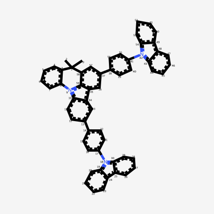 CC1(C)c2ccccc2-n2c3ccc(-c4ccc(-n5c6ccccc6c6ccccc65)cc4)cc3c3cc(-c4ccc(-n5c6ccccc6c6ccccc65)cc4)cc1c32